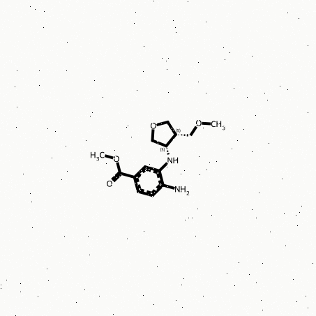 COC[C@H]1COC[C@H]1Nc1cc(C(=O)OC)ccc1N